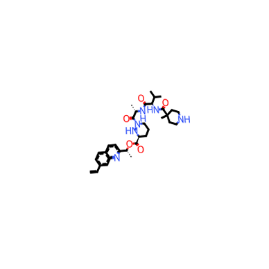 C=Cc1ccc2ccc([C@@H](C)OC(=O)[C@@H]3CCCN(C(=O)[C@H](C)NC(=O)[C@@H](NC(=O)C4(C)CCNCC4)C(C)C)N3)nc2c1